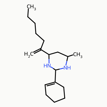 C=C(CCCCC)C1CC(C)NC(C2=CCCCC2)N1